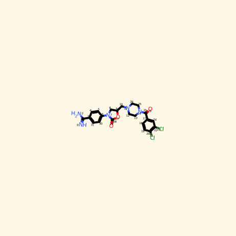 N=C(N)c1ccc(N2CC(CN3CCN(C(=O)c4ccc(Cl)c(Cl)c4)CC3)OC2=O)cc1